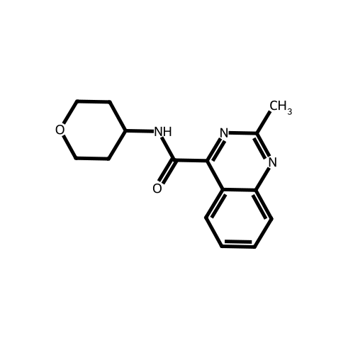 Cc1nc(C(=O)NC2CCOCC2)c2ccccc2n1